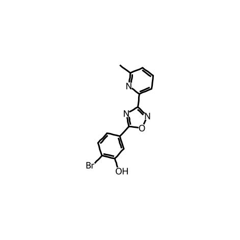 Cc1cccc(-c2noc(-c3ccc(Br)c(O)c3)n2)n1